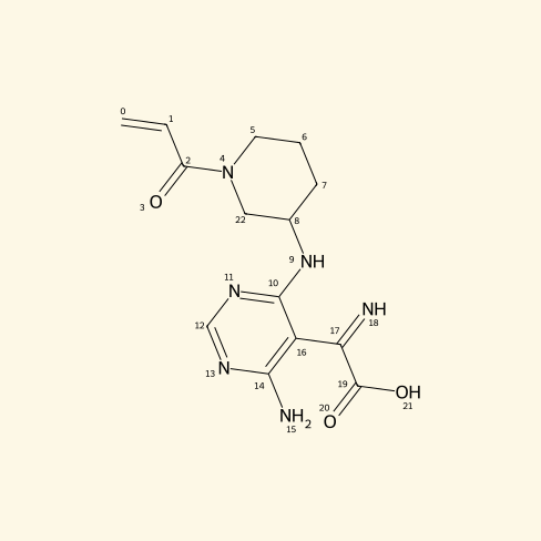 C=CC(=O)N1CCCC(Nc2ncnc(N)c2C(=N)C(=O)O)C1